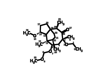 CCO[C@]1(C)CC(OCOC)[C@@]2(C)C3[C@H](OC)CCC3(CC[C@H]2C)[C@@H](C)C1=O